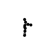 c1ccc(-c2ccc(N(c3ccc(-c4ccccc4)cc3)c3ccc4oc5cc(-c6ccc(-c7nc8ccccc8s7)cc6)ccc5c4c3)cc2)cc1